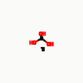 OB(O)O.[Ti]